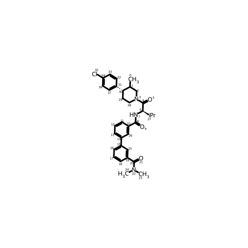 CC1CN(C(=O)[C@H](NC(=O)c2cccc(-c3cccc(C(=O)N(C)C)c3)c2)C(C)C)CC[C@@H]1c1ccc(Cl)cc1